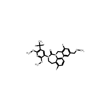 COCc1cc(F)c(CN2C(=O)N(c3cc(C(C)(F)F)c(OC)nc3OC)CCc3c(F)cccc32)c(F)c1